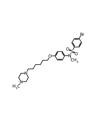 CN1CCN(CCCCCCOc2ccc(N(C)S(=O)(=O)c3ccc(Br)cc3)cc2)CC1